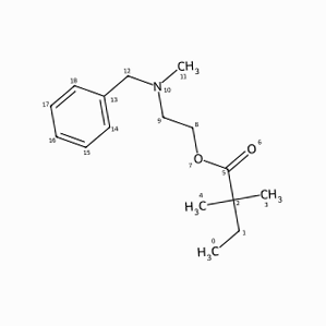 CCC(C)(C)C(=O)OCCN(C)Cc1ccccc1